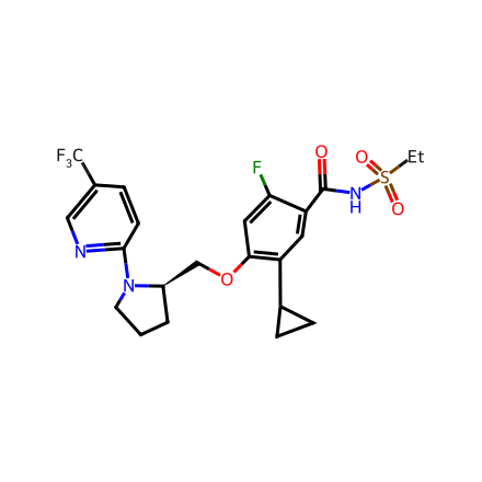 CCS(=O)(=O)NC(=O)c1cc(C2CC2)c(OC[C@H]2CCCN2c2ccc(C(F)(F)F)cn2)cc1F